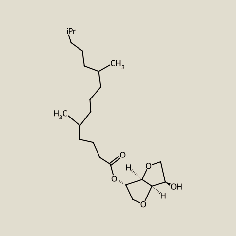 CC(C)CCCC(C)CCCC(C)CCCC(=O)O[C@H]1CO[C@H]2[C@@H]1OC[C@H]2O